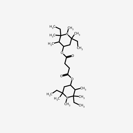 CCC1(C)CC(OC(=O)CCC(=O)OC2CC(C)(CC)N(C)C(C)(CC)C2C)C(C)C(C)(CC)N1C